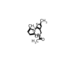 CC(=O)NCc1cc(C)sc1-n1c(C)ccc1C